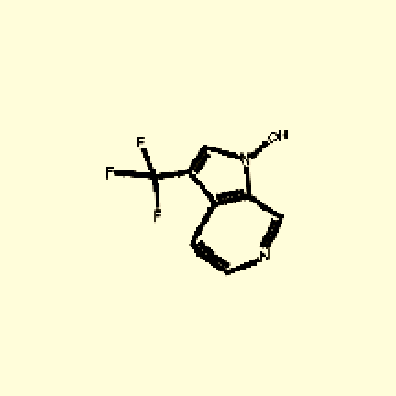 On1cc(C(F)(F)F)c2ccncc21